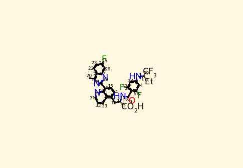 CC[C@@H](Nc1cc(F)c(C(=O)N[C@@H](Cc2ccc(-c3nc(C)c4ccc(F)cc4n3)c3ncccc23)C(=O)O)c(F)c1)C(F)(F)F